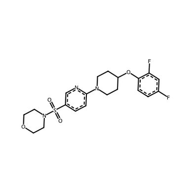 O=S(=O)(c1ccc(N2CCC(Oc3ccc(F)cc3F)CC2)nc1)N1CCOCC1